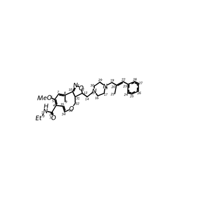 CCNC(=O)C1=C(OC)/C=C(\C)C2=NOC(CN3CCN(C/C(C)=C/c4ccccc4)CC3)C2CO\C=C\1